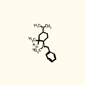 CN(C)C1CCC(N(Cc2ccccc2)C(=O)O)C(C)(C)C1